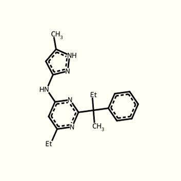 CCc1cc(Nc2cc(C)[nH]n2)nc(C(C)(CC)c2ccccc2)n1